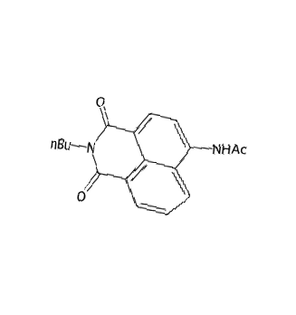 CCCCN1C(=O)c2cccc3c(NC(C)=O)ccc(c23)C1=O